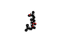 c1ccc(-c2nc(-c3ccccc3)nc(-c3cccc(-n4c5ccccc5c5cc(-c6nnc(-c7cccc8c7c7ccccc7n8-c7cccc(-c8nc(-c9ccccc9)nc(-c9ccccc9)n8)c7)n6-c6ccccc6)ccc54)c3)n2)cc1